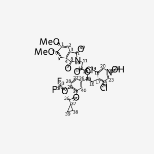 COc1cc2c(cc1OC)C(=O)N(CC(=O)O[C@@H](Cc1c(Cl)c[n+](O)cc1Cl)c1ccc(OC(F)F)c(OCC3CC3)c1)C2=O